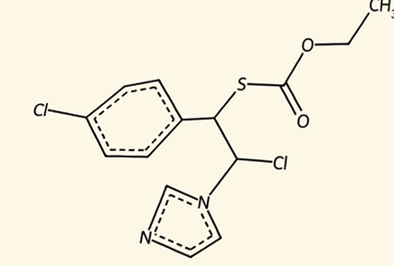 CCOC(=O)SC(c1ccc(Cl)cc1)C(Cl)n1ccnc1